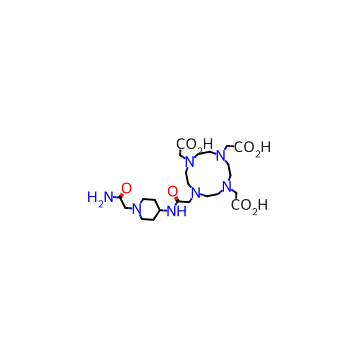 NC(=O)CN1CCC(NC(=O)CN2CCN(CC(=O)O)CCN(CC(=O)O)CCN(CC(=O)O)CC2)CC1